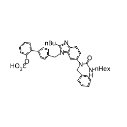 CCCCCCNC(=O)N(Cc1ccccc1)c1ccc2nc(CCCC)n(Cc3ccc(-c4ccccc4OC(=O)O)cc3)c2c1